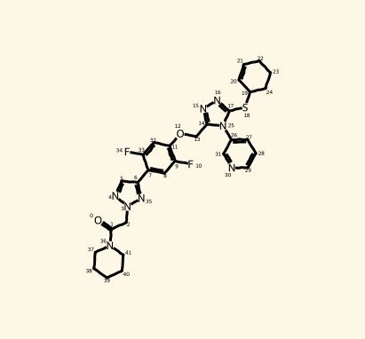 O=C(Cn1ncc(-c2cc(F)c(OCc3nnc(SC4C=CCCC4)n3-c3cccnc3)cc2F)n1)N1CCCCC1